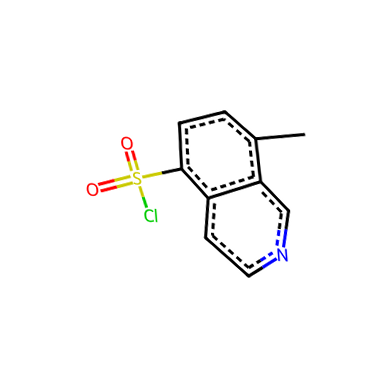 Cc1ccc(S(=O)(=O)Cl)c2ccncc12